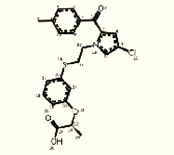 Cc1ccc(C(=O)c2cc(Cl)cn2CCSc2cccc(O[C@@H](C)C(=O)O)c2)cc1